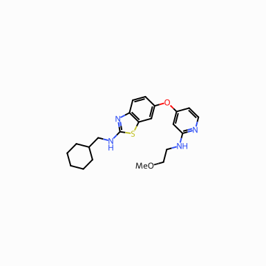 COCCNc1cc(Oc2ccc3nc(NCC4CCCCC4)sc3c2)ccn1